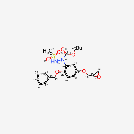 CC(C)(C)OC(=O)N(NS(C)(=O)=O)c1cc(OCC2CO2)ccc1OCc1ccccc1